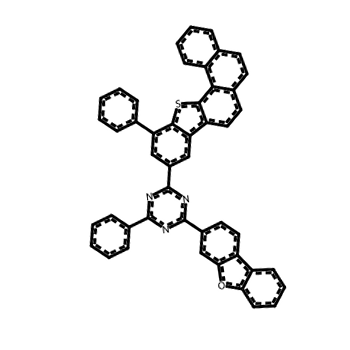 c1ccc(-c2nc(-c3ccc4c(c3)oc3ccccc34)nc(-c3cc(-c4ccccc4)c4sc5c(ccc6ccc7ccccc7c65)c4c3)n2)cc1